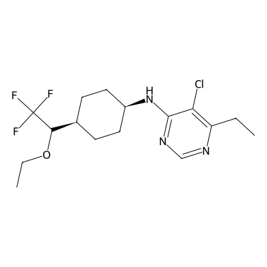 CCOC([C@H]1CC[C@@H](Nc2ncnc(CC)c2Cl)CC1)C(F)(F)F